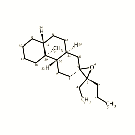 CCC[C@]1(CC)O[C@@]12CC[C@H]1[C@@H](CC[C@H]3CCCC[C@@]31C)C2